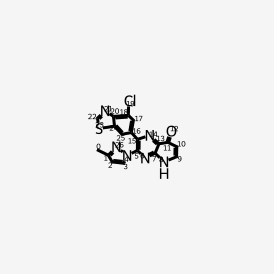 Cc1ccn(-c2nc3[nH]ccc(=O)c3nc2-c2cc(Cl)c3ncsc3c2)n1